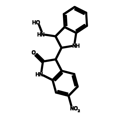 O=C1Nc2cc([N+](=O)[O-])ccc2C1C1Nc2ccccc2C1NO